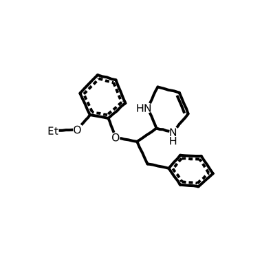 CCOc1ccccc1OC(Cc1ccccc1)C1NC=CCN1